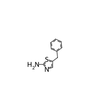 Nc1ncc(Cc2ccccc2)s1